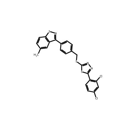 Cc1ccc2snc(-c3ccc(CSc4nnc(-c5ccc(Cl)cc5Cl)s4)cc3)c2c1